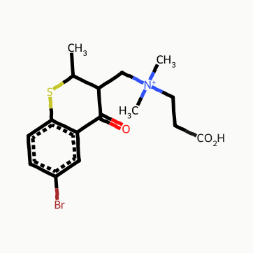 CC1Sc2ccc(Br)cc2C(=O)C1C[N+](C)(C)CCC(=O)O